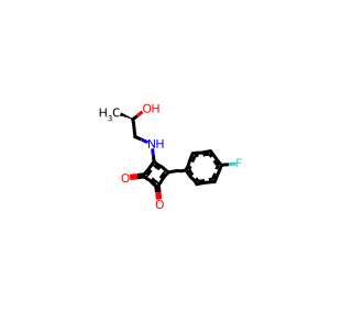 C[C@@H](O)CNc1c(-c2ccc(F)cc2)c(=O)c1=O